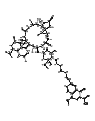 COn1cc(C(=O)O)c(=O)c2cc(C=CCOCCO[C@H]3[C@H](C)O[C@@H](O[C@H]4[C@H](C)[C@@H](O[C@@H]5O[C@H](C)C[C@H](N(C)C)[C@H]5OC(C)=O)[C@](C)(O)C[C@@H](C)CN(C)[C@H](C)[C@H]5OC(=O)O[C@@]56C(C)[C@H]6OC(=O)[C@@H]4C)C[C@@]3(C)OC)ccc21